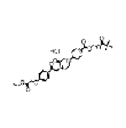 CCOC(=O)COc1ccc(C(=O)CN2CCN(C3CCN(C(=O)OCOC(=O)C(C)(C)C)CC3)CC2=O)cc1.Cl